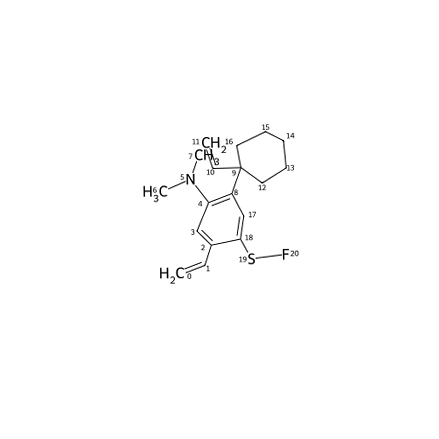 C=Cc1cc(N(C)C)c(C2(C=C)CCCCC2)cc1SF